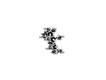 O=S(=O)(O)OC[C@H]1O[C@@H](OC[C@H]2O[C@H](COS(=O)(=O)O)[C@@H](OS(=O)(=O)O)[C@@H]2OS(=O)(=O)O)[C@H](OS(=O)(=O)O)[C@@H](OS(=O)(=O)O)C1O[C@H]1O[C@H](COS(=O)(=O)O)[C@@H](OS(=O)(=O)O)[C@H](OS(=O)(=O)O)[C@H]1OS(=O)(=O)O